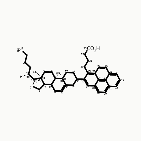 CC(C)CCC[C@@H](C)[C@H]1CCC2C3CC=C4CC(c5cc6ccc7cccc8ccc(c5CCCC(=O)O)c6c78)CC[C@]4(C)C3CC[C@@]21C